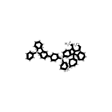 C=CC1=C(/C=C\C)C(C2=CC=CC(C)CC2)(c2ccccc2)c2cc(N(C3=CCC(c4ccc5c(c4)c4ccccc4n5-c4ccccc4)C=C3)c3ccccc3)ccc21